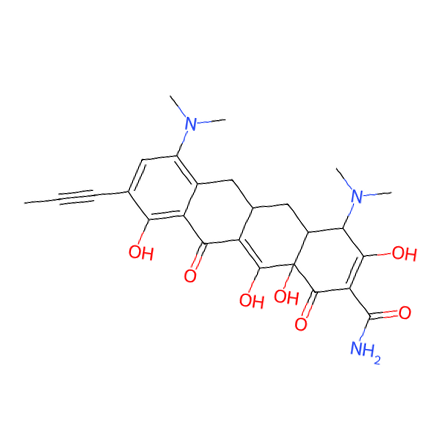 CC#Cc1cc(N(C)C)c2c(c1O)C(=O)C1=C(O)C3(O)C(=O)C(C(N)=O)=C(O)C(N(C)C)C3CC1C2